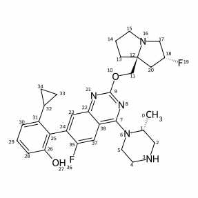 C[C@@H]1CNCCN1c1nc(OC[C@@]23CCCN2C[C@H](F)C3)nc2cc(-c3c(O)cccc3C3CC3)c(F)cc12